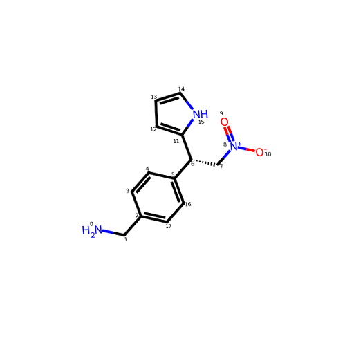 NCc1ccc([C@@H](C[N+](=O)[O-])c2ccc[nH]2)cc1